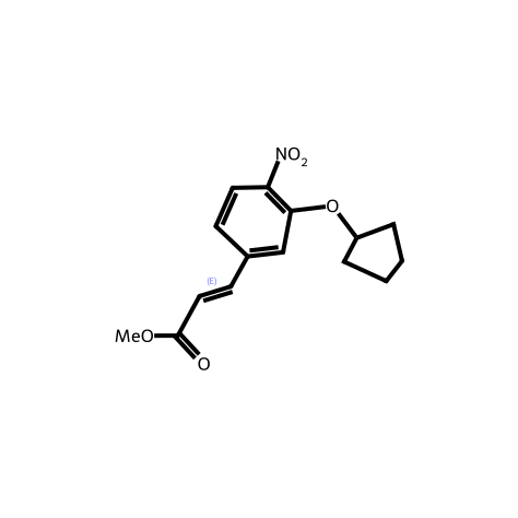 COC(=O)/C=C/c1ccc([N+](=O)[O-])c(OC2CCCC2)c1